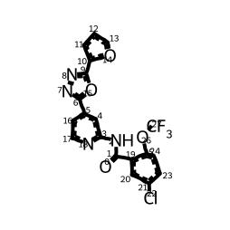 O=C(Nc1cc(-c2nnc(-c3ccco3)o2)ccn1)c1cc(Cl)ccc1OC(F)(F)F